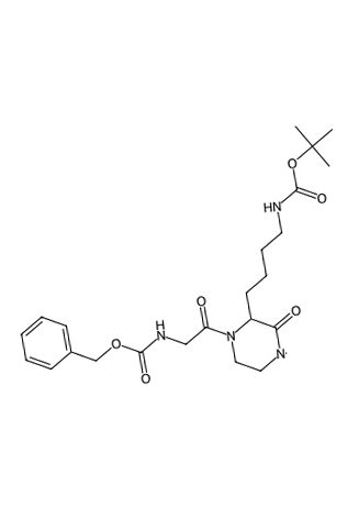 CC(C)(C)OC(=O)NCCCCC1C(=O)[N]CCN1C(=O)CNC(=O)OCc1ccccc1